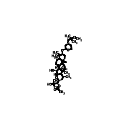 COC(C)(C)CN1CCO[C@@H](O[C@H]2CC[C@]34C[C@]35CC[C@]3(C)C6[C@H](C)C[C@H]([C@H](OC(C)=O)C(C)(C)O)O[C@@H]6[C@H](O)[C@@]3(C)[C@@H]5CC[C@H]4C2(C)C)C1